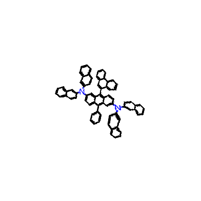 c1ccc(-c2c3cc(N(c4ccc5ccccc5c4)c4ccc5ccccc5c4)ccc3c(-c3cc4ccccc4c4ccccc34)c3cc(N(c4ccc5ccccc5c4)c4ccc5ccccc5c4)ccc23)cc1